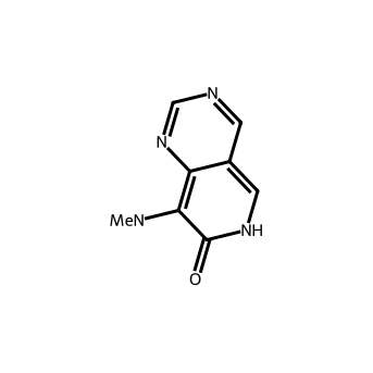 CNc1c(=O)[nH]cc2cncnc12